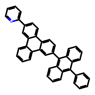 c1ccc(-c2c3ccccc3c(-c3ccc4c5ccc(-c6ccccn6)cc5c5ccccc5c4c3)c3ccccc23)cc1